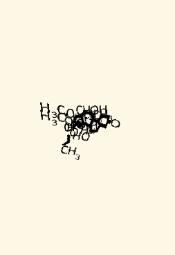 CCCCOC(=O)C(=O)[C@@]12OC(C)(C)O[C@@H]1C[C@H]1[C@@H]3[C@@H](O)CC4=CC(=O)C=C[C@]4(C)[C@@]3(F)[C@@H](O)C[C@@]12C